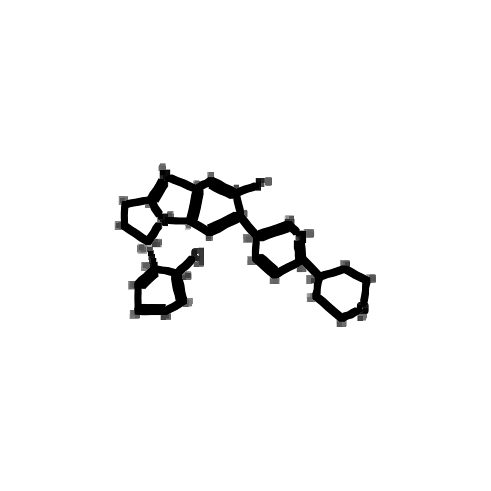 Fc1cc2nc3n(c2cc1-c1ccc(C2CCOCC2)nc1)[C@H](c1ccccc1Cl)CC3